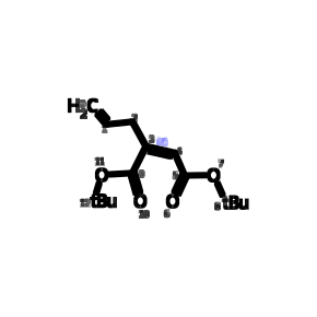 C=CC/C(=C/C(=O)OC(C)(C)C)C(=O)OC(C)(C)C